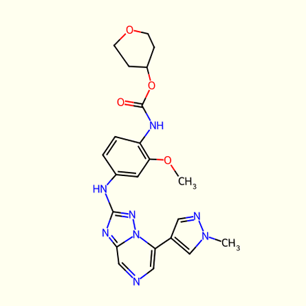 COc1cc(Nc2nc3cncc(-c4cnn(C)c4)n3n2)ccc1NC(=O)OC1CCOCC1